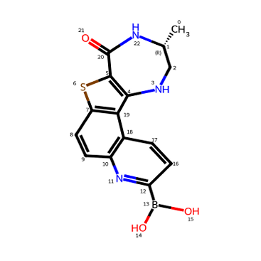 C[C@@H]1CNc2c(sc3ccc4nc(B(O)O)ccc4c23)C(=O)N1